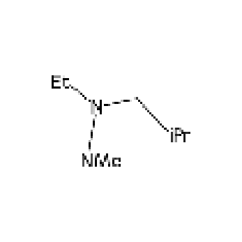 CCN(CC(C)C)NC